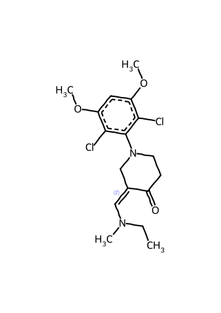 CCN(C)/C=C1/CN(c2c(Cl)c(OC)cc(OC)c2Cl)CCC1=O